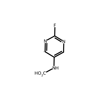 O=C(O)Nc1[c]nc(F)nc1